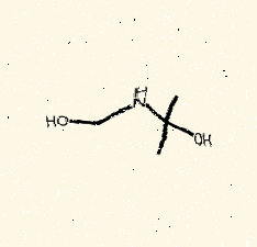 CC(C)(O)NCO